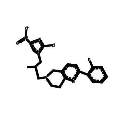 CC(CN1CCc2nc(-c3ccccc3F)ccc2C1)Cn1cc([N+](=O)[O-])nc1Cl